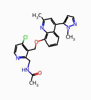 CC(=O)NCc1nccc(Cl)c1COc1cccc2c(-c3ccnn3C)cc(C)nc12